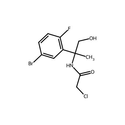 CC(CO)(NC(=O)CCl)c1cc(Br)ccc1F